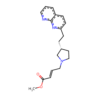 COC(=O)C=CCN1CC[C@@H](CCc2ccc3cccnc3n2)C1